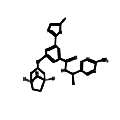 Cc1cnc(-c2cc(OC3C[C@H]4CC[C@@H](C3)N4)cc(C(=O)N[C@H](C)c3cnc(C(F)(F)F)nc3)c2)s1